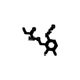 CCC(=O)NOCc1c(N=C=O)ccc(C)c1I